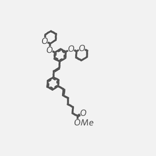 COC(=O)CCCCC=Cc1cccc(C=Cc2cc(OC3CCCCO3)cc(OC3CCCCO3)c2)c1